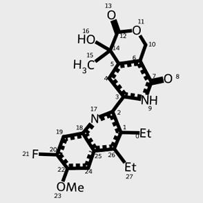 CCc1c(-c2cc3c(c(=O)[nH]2)COC(=O)C3(C)O)nc2cc(F)c(OC)cc2c1CC